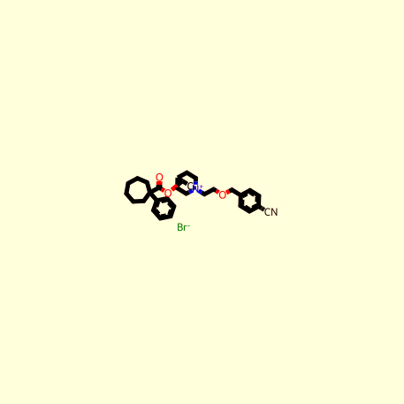 N#Cc1ccc(COCC[N+]23CCC(CC2)C(OC(=O)C2(c4ccccc4)CCCCCC2)C3)cc1.[Br-]